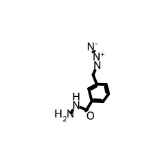 [N-]=[N+]=NCc1cccc(C(=O)NN)c1